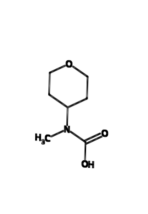 CN(C(=O)O)C1CCOCC1